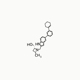 C[C@H]1C[C@H](CO)N1Cc1cc2cc(-c3cccc(C4=CCCCC4)c3)ccc2[nH]1